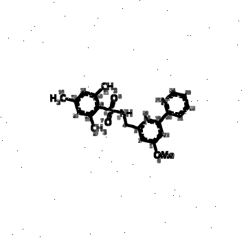 COc1cc(CNS(=O)(=O)c2c(C)cc(C)cc2C)nc(-c2ccccn2)c1